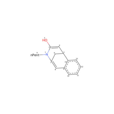 CCCCCN1C(O)=CC2CC1=Cc1ccccc12